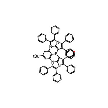 CC(C)(C)c1cc2c3c(c1)-n1c(-c4ccccc4)c(-c4ccccc4)n4c(-c5ccccc5)c(-c5ccccc5)c(c14)B3c1c(-c3ccccc3)c(-c3ccccc3)n3c(-c4ccccc4)c(-c4ccccc4)n-2c13